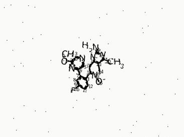 COc1cncc(-c2cc(F)ccc2C2Cc3nc(N)nc(C)c3C=[N+]2[O-])n1